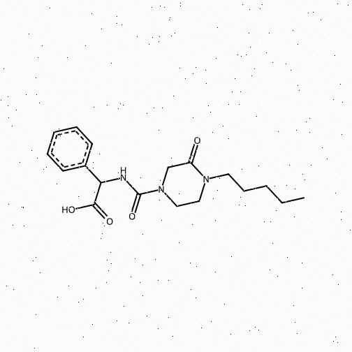 CCCCCN1CCN(C(=O)NC(C(=O)O)c2ccccc2)CC1=O